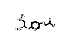 CCNC[C@H](C)Oc1ccc(OCC(=O)CC)cn1